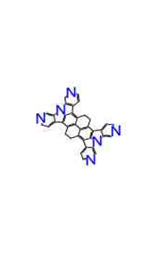 c1cc2c3c4c5c(c6c7ccncc7n(c2cn1)c36)CCc1c-5c(c2c3ccncc3n3c5cnccc5c1c23)CC4